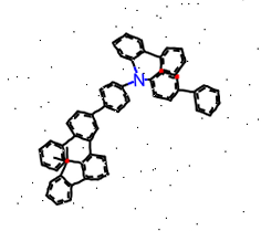 CC1(C)c2ccccc2-c2cccc(-c3cc(-c4ccc(N(c5ccc(-c6ccccc6)cc5)c5ccccc5-c5ccccc5)cc4)ccc3-c3ccccc3)c21